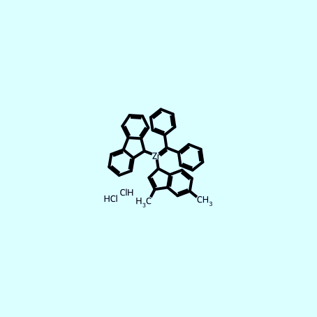 CC1=C[CH]([Zr](=[C](c2ccccc2)c2ccccc2)[CH]2c3ccccc3-c3ccccc32)c2ccc(C)cc21.Cl.Cl